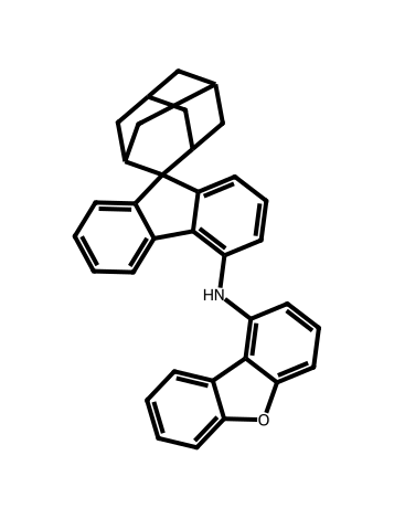 c1ccc2c(c1)-c1c(Nc3cccc4oc5ccccc5c34)cccc1C21C2CC3CC(C2)CC1C3